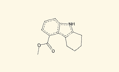 COC(=O)c1cccc2[nH]c3c(c12)CCCC3